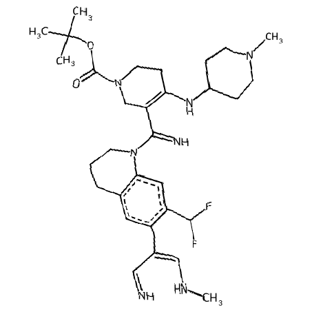 CN/C=C(\C=N)c1cc2c(cc1C(F)F)N(C(=N)C1=C(NC3CCN(C)CC3)CCN(C(=O)OC(C)(C)C)C1)CCC2